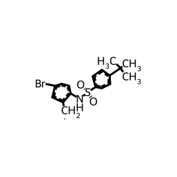 [CH2]c1cc(Br)ccc1NS(=O)(=O)c1ccc(C(C)(C)C)cc1